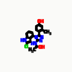 C=C(O)Nc1nnc(-c2ccc(O)cc2C)n1-c1cccc2[nH]c(Cl)cc12